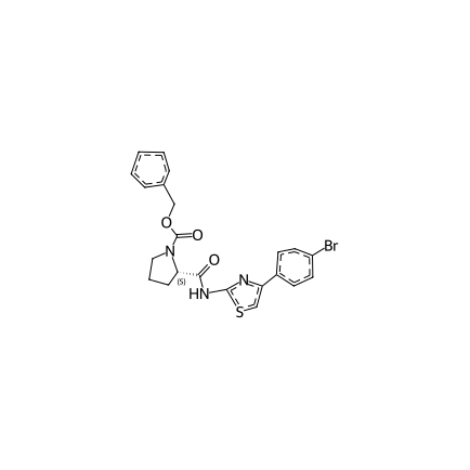 O=C(Nc1nc(-c2ccc(Br)cc2)cs1)[C@@H]1CCCN1C(=O)OCc1ccccc1